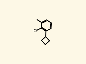 Cc1cc[c]c(C2CCC2)c1Cl